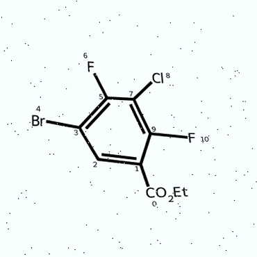 CCOC(=O)c1cc(Br)c(F)c(Cl)c1F